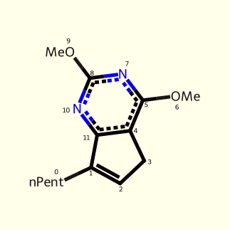 CCCCCC1=CCc2c(OC)nc(OC)nc21